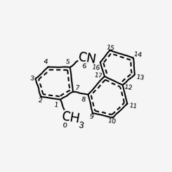 Cc1cccc(C#N)c1-c1cccc2ccccc12